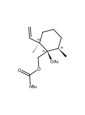 C=C[C@@]1(C)CCC[C@@H](C)[C@@]1(COC(=O)CCCC)OC(C)=O